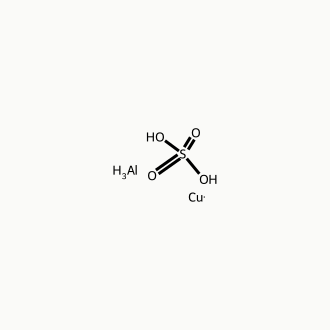 O=S(=O)(O)O.[AlH3].[Cu]